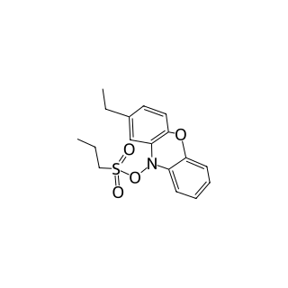 CCCS(=O)(=O)ON1c2ccccc2Oc2ccc(CC)cc21